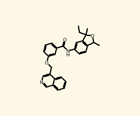 CCC1(C)OC(C)c2ccc(NC(=O)c3cccc(OCc4cncc5ccccc45)c3)cc21